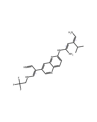 CC(C)C(=C/N)/C=C(\N)Nc1ccc2ncc(/C(C=N)=C/NCC(F)(F)F)cc2n1